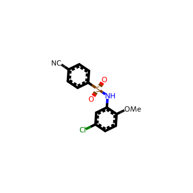 COc1ccc(Cl)cc1NS(=O)(=O)c1ccc(C#N)cc1